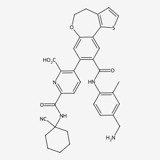 Cc1cc(CN)ccc1NC(=O)c1cc2c(cc1-c1ccc(C(=O)NC3(C#N)CCCCC3)nc1C(=O)O)OCCc1ccsc1-2